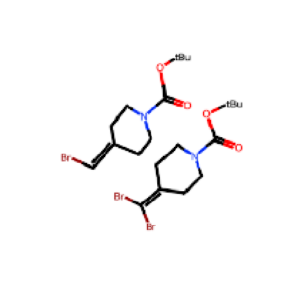 CC(C)(C)OC(=O)N1CCC(=C(Br)Br)CC1.CC(C)(C)OC(=O)N1CCC(=CBr)CC1